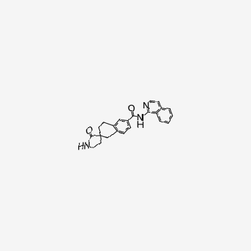 O=C(Nc1nccc2ccccc12)c1ccc2c(c1)CCC1(CCNC1=O)C2